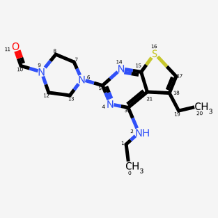 CCNc1nc(N2CCN(C=O)CC2)nc2scc(CC)c12